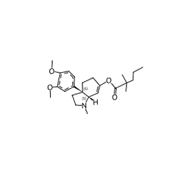 CCCC(C)(C)C(=O)OC1=C[C@@H]2N(C)CC[C@]2(c2ccc(OC)c(OC)c2)CC1